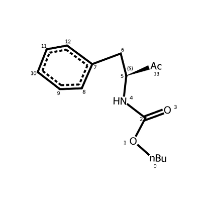 CCCCOC(=O)N[C@@H](Cc1ccccc1)C(C)=O